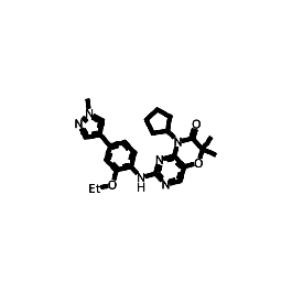 CCOc1cc(-c2cnn(C)c2)ccc1Nc1ncc2c(n1)N(C1CCCC1)C(=O)C(C)(C)O2